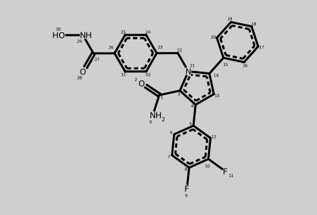 NC(=O)c1c(-c2ccc(F)c(F)c2)cc(-c2ccccc2)n1Cc1ccc(C(=O)NO)cc1